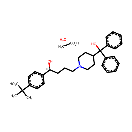 CC(=O)O.CC(C)(C(=O)O)c1ccc([C@@H](O)CCCN2CCC(C(O)(c3ccccc3)c3ccccc3)CC2)cc1.O